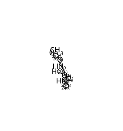 COc1ccc(OCCNCC(O)COc2cccc3c2[nH]c2ccccc23)cc1